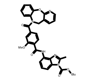 COc1cc(C(=O)N2Cc3cccnc3Oc3ccccc32)ccc1C(=O)Nc1cccc2c1nc(C)n2C(=O)OC(C)(C)C